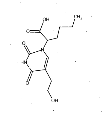 CCCCC(C(=O)O)n1cc(CCO)c(=O)[nH]c1=O